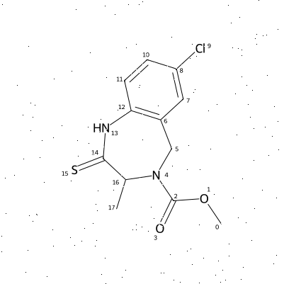 COC(=O)N1Cc2cc(Cl)ccc2NC(=S)C1C